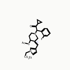 CCOC(=O)Cn1ccc(/C=C2/CN(C(C(=O)C3CC3)c3ccccc3F)CCC2SC(C)=O)c1